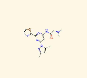 Cc1cc(C)n(-c2cc(NC(=O)CN(C)C)nc(-c3nccs3)n2)n1